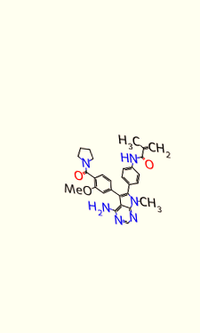 C=C(C)C(=O)Nc1ccc(-c2c(-c3ccc(C(=O)N4CCCC4)c(OC)c3)c3c(N)ncnc3n2C)cc1